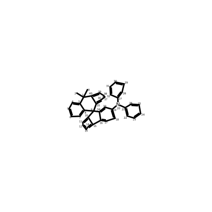 CC1(C)c2ccccc2C2(c3ccccc3-c3ccc(N(c4ccccc4)c4ccccc4)cc32)c2ccccc21